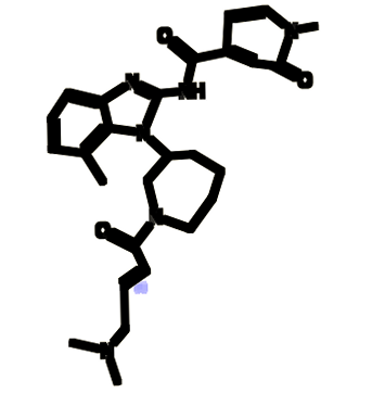 Cc1cccc2nc(NC(=O)c3ccn(C)c(=O)c3)n(C3CCCCN(C(=O)/C=C/CN(C)C)C3)c12